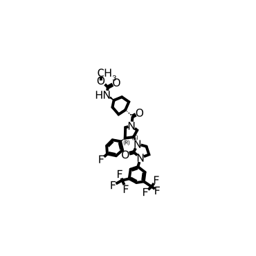 COC(=O)N[C@H]1CC[C@H](C(=O)N2C[C@@H](N3CCN(c4cc(C(F)(F)F)cc(C(F)(F)F)c4)C3=O)[C@H](c3ccc(F)cc3)C2)CC1